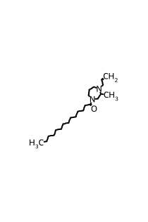 C=CCN1CCCN(C(=O)CCCCCCCCCCCCC)CC1C